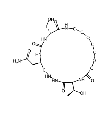 C[C@H](O)C1NC(=O)COCCOCCNC(=O)[C@@H](CO)NC(=O)N[C@H](CC(N)=O)CNNC1=O